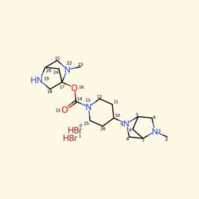 Br.Br.CN1CC2CC1CN2C1CCN(C(=O)OC23CNC(CN2C)C3)CC1